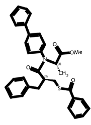 COC(=O)[C@H](C)N(C(=O)[C@@H](CSC(=O)c1ccccc1)Cc1ccccc1)c1ccc(-c2ccccc2)cc1